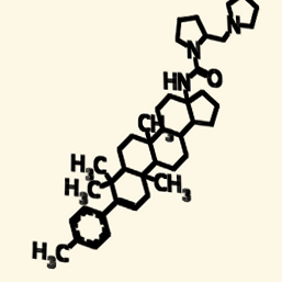 Cc1ccc(C2=CCC3(C)C(CCC4(C)C5CCC6(NC(=O)N7CCCC7CN7CCCC7)CCCC6C5CCC43)C2(C)C)cc1